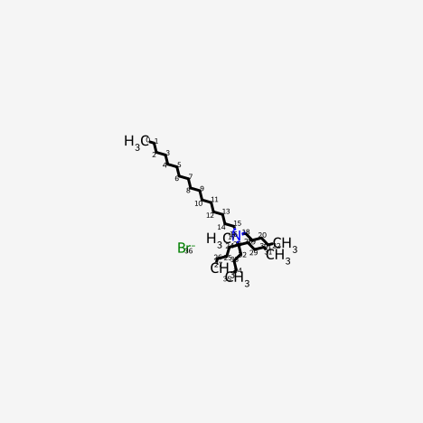 CCCCCCCCCCCCCCCC[N+](C)(CCCCC)C(CCCC)(CCCC)CCCC.[Br-]